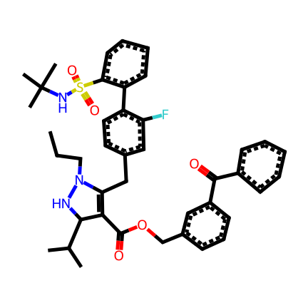 CCCN1NC(C(C)C)C(C(=O)OCc2cccc(C(=O)c3ccccc3)c2)=C1Cc1ccc(-c2ccccc2S(=O)(=O)NC(C)(C)C)c(F)c1